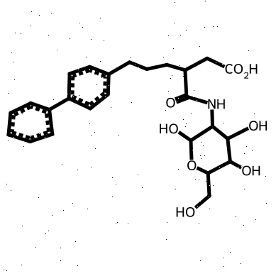 O=C(O)CC(CCCc1ccc(-c2ccccc2)cc1)C(=O)NC1C(O)OC(CO)C(O)C1O